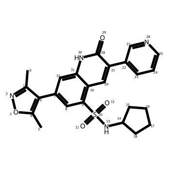 Cc1noc(C)c1-c1cc(S(=O)(=O)NC2CCCC2)c2cc(-c3cccnc3)c(=O)[nH]c2c1